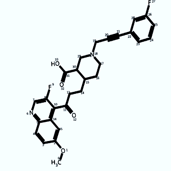 COc1ccc2ncc(F)c(C(=O)CCC3CCN(CC#Cc4cccc(F)c4)CC3C(=O)O)c2c1